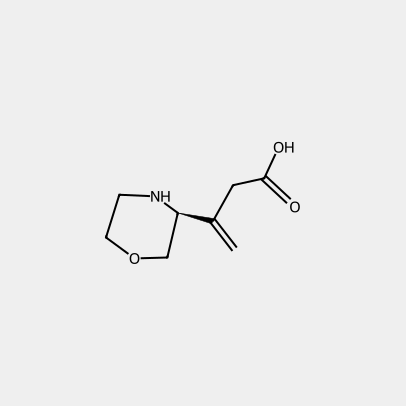 C=C(CC(=O)O)[C@H]1COCCN1